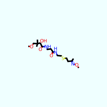 COCC(C)(C)C(O)C(=O)NCCC(=O)NCCSCC/C(C)=N/OC